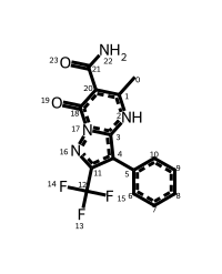 Cc1[nH]c2c(-c3ccccc3)c(C(F)(F)F)nn2c(=O)c1C(N)=O